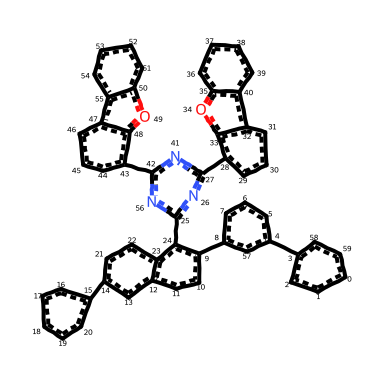 c1ccc(-c2cccc(-c3ccc4cc(-c5ccccc5)ccc4c3-c3nc(-c4cccc5c4oc4ccccc45)nc(-c4cccc5c4oc4ccccc45)n3)c2)cc1